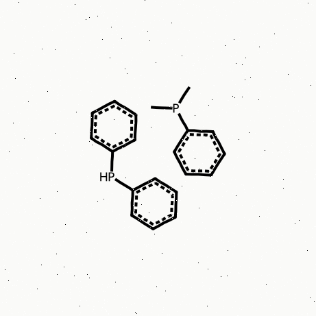 CP(C)c1ccccc1.c1ccc(Pc2ccccc2)cc1